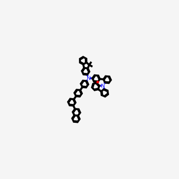 CC1(C)c2ccccc2-c2ccc(N(c3ccc(-c4ccc(-c5cccc(-c6ccc7ccccc7c6)c5)cc4)cc3)c3ccc(-c4ccccc4-n4c5ccccc5c5ccccc54)cc3)cc21